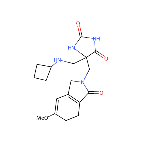 COC1=CC2=C(CC1)C(=O)N(CC1(CNC3CCC3)NC(=O)NC1=O)C2